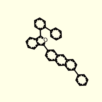 c1ccc(-c2ccc3cc4cc(-c5oc(-c6ccccc6-c6ccccc6)c6ccccc56)ccc4cc3c2)cc1